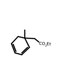 CCOC(=O)CC1(C)C=CC=CC1